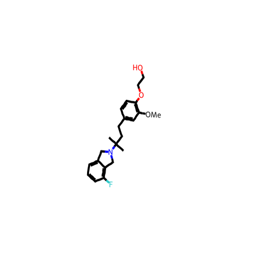 COc1cc(CCC(C)(C)N2Cc3cccc(F)c3C2)ccc1OCCO